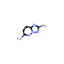 Cc1ccc2nc(C)nn2n1